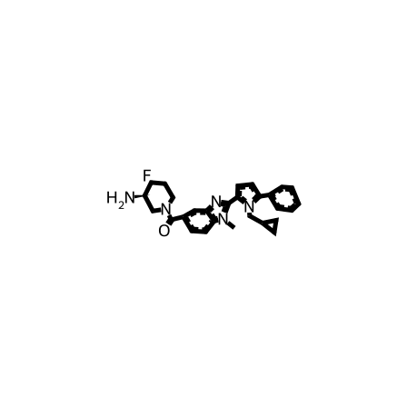 Cn1c(-c2ccc(-c3ccccc3)n2CC2CC2)nc2cc(C(=O)N3CC[C@@H](F)[C@H](N)C3)ccc21